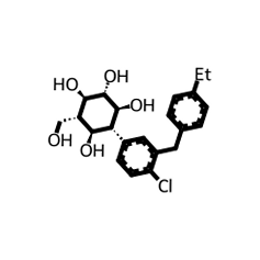 CCc1ccc(Cc2cc([C@H]3[C@H](O)[C@@H](O)[C@H](O)[C@@H](CO)[C@@H]3O)ccc2Cl)cc1